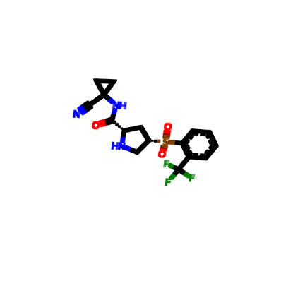 N#CC1(NC(=O)[C@@H]2C[C@H](S(=O)(=O)c3ccccc3C(F)(F)F)CN2)CC1